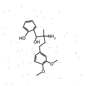 COc1ccc(CCC(C)(N)C(O)c2ccccc2O)cc1OC